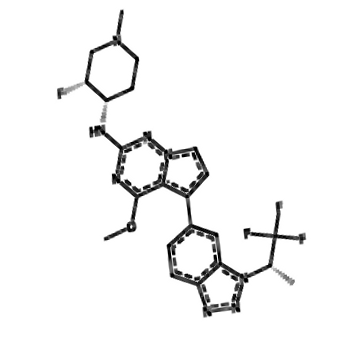 COc1nc(N[C@H]2CCN(C)C[C@H]2F)nn2ccc(-c3ccc4nnn([C@@H](C)C(F)(F)F)c4c3)c12